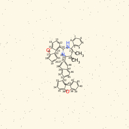 CC1=C(c2ccccc2)NC(c2cccc3oc4ccccc4c23)N=C(c2ccc3cc(-c4cccc5oc6ccccc6c45)ccc3c2)C1C